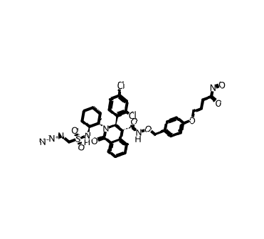 [N-]=[N+]=NCS(=O)(=O)N[C@H]1CCCC[C@@H]1N1C(=O)c2ccccc2[C@@H](C(=O)NOCc2ccc(OCCCC(=O)N=O)cc2)[C@@H]1c1ccc(Cl)cc1Cl